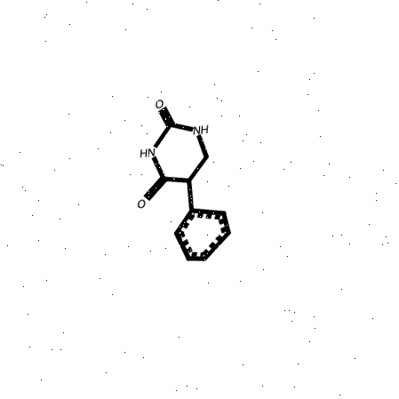 O=C1NCC(c2ccccc2)C(=O)N1